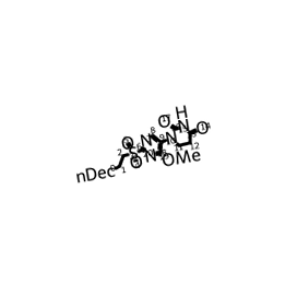 CCCCCCCCCCCCS(=O)(=O)c1ncc(N2CCC(=O)NC2=O)c(OC)n1